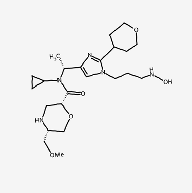 COC[C@H]1CO[C@@H](C(=O)N(C2CC2)[C@H](C)c2cn(CCCNO)c(C3CCOCC3)n2)CN1